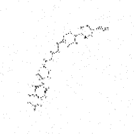 CCOC(=O)c1cnc(N2CCN(CCOCCN3CCN(c4ncc5c(n4)CCN=C5)CC3)CC2)nc1